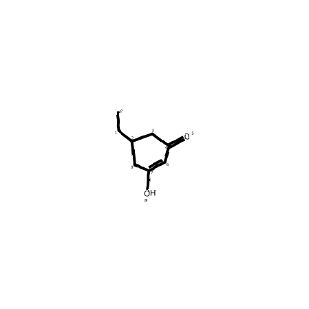 CCC1CC(=O)C=C(O)C1